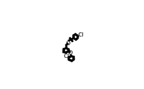 CC(C)(COCc1ccc(Cl)c(Oc2ccccc2)c1)c1ccc(Cl)cc1